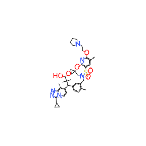 Cc1ccc(C(c2ccn3c(C4CC4)nnc3c2C)C(C)(C)C(=O)O)cc1CN1CC2(CC2)Oc2nc(OCCN3CCCC3)c(C)cc2S1(=O)=O